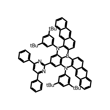 CC(C)(C)c1cc(N2c3cc(-c4nc(-c5ccccc5)cc(-c5ccccc5)n4)cc4c3B(c3ccc5cc6ccccc6cc5c32)c2ccc3cc5ccccc5cc3c2N4c2cc(C(C)(C)C)cc(C(C)(C)C)c2)cc(C(C)(C)C)c1